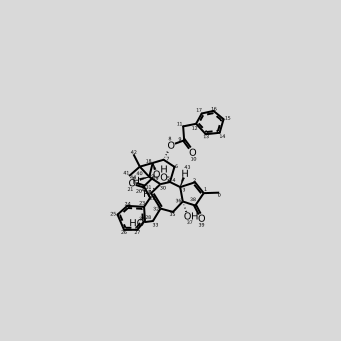 CC1=C[C@H]2[C@@]3(O)C[C@@H](OC(=O)Cc4ccccc4)[C@]4(OC(=O)Cc5ccccc5)[C@H]([C@@H]3C=C(CO)C[C@]2(O)C1=O)C4(C)C